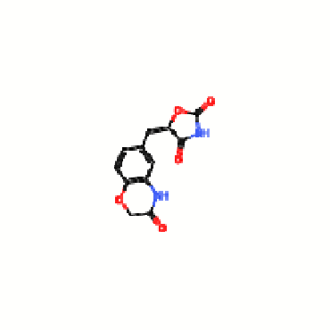 O=C1COc2ccc(C=C3OC(=O)NC3=O)cc2N1